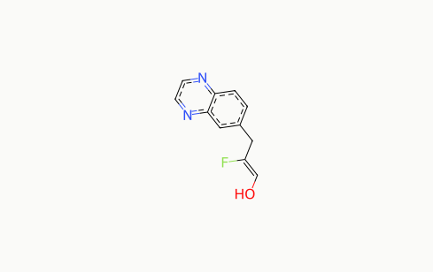 O/C=C(\F)Cc1ccc2nccnc2c1